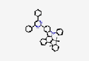 CC1(C)c2c(c3ccccc3c3c4cc(-c5nc(-c6ccccc6)cc(-c6ccccc6)n5)ccc4n(-c4ccccc4)c23)C2(C)C=CC=CC12